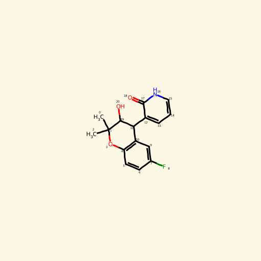 CC1(C)Oc2ccc(F)cc2C(c2ccc[nH]c2=O)C1O